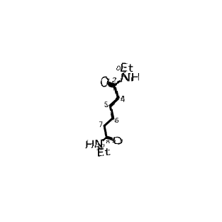 CCNC(=O)CCCCC(=O)NCC